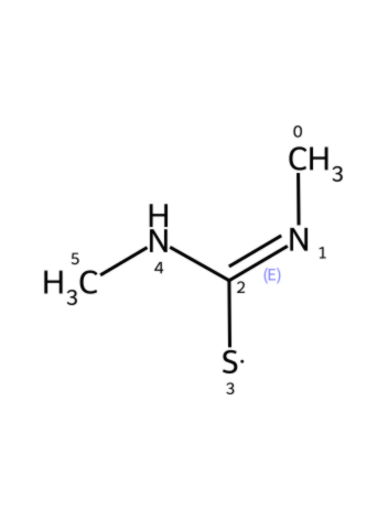 C/N=C(/[S])NC